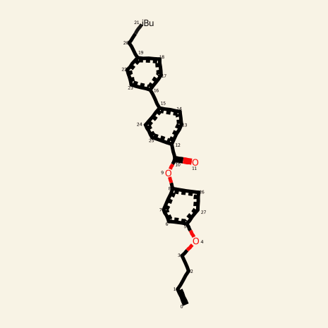 C=CCCOc1ccc(OC(=O)c2ccc(-c3ccc(CC(C)CC)cc3)cc2)cc1